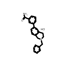 Cl.NC(=O)c1cccc(-c2ccc3c(c2)CCN(Cc2ccccc2)C3)c1